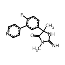 CN1C(=N)NC(C)(c2ccc(F)c(-c3ccncc3)c2)C1=O